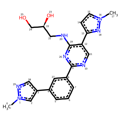 Cn1cc(-c2cccc(-c3ncc(-c4ccn(C)n4)c(NC[C@H](O)CO)n3)c2)cn1